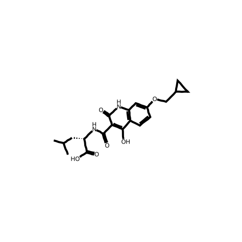 CC(C)C[C@H](NC(=O)c1c(O)c2ccc(OCC3CC3)cc2[nH]c1=O)C(=O)O